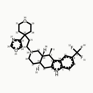 C[C@H]1c2c([nH]c3ccc(C(F)(F)F)cc23)C[C@H]2CCN(CCC3(c4cocn4)CCOCC3)C[C@@H]21